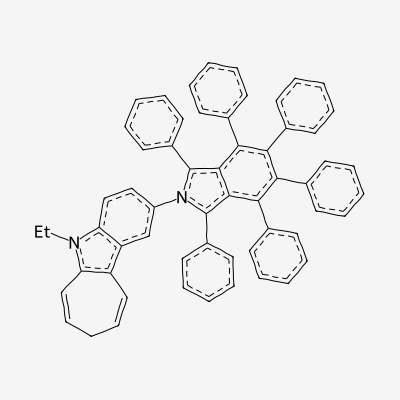 CCn1c2c(c3cc(-n4c(-c5ccccc5)c5c(-c6ccccc6)c(-c6ccccc6)c(-c6ccccc6)c(-c6ccccc6)c5c4-c4ccccc4)ccc31)C=CCC=C2